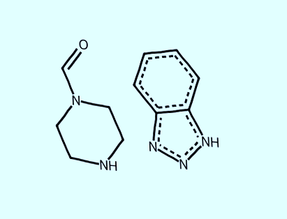 O=CN1CCNCC1.c1ccc2[nH]nnc2c1